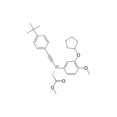 COC(=O)C[C@H](C#Cc1ccc(C(C)(C)C)cc1)c1ccc(OC)c(OC2CCCC2)c1